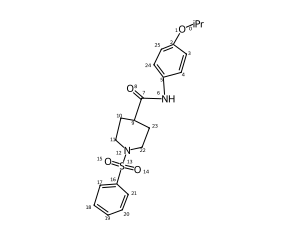 CC(C)Oc1ccc(NC(=O)C2CCN(S(=O)(=O)c3ccccc3)CC2)cc1